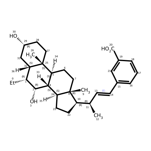 CC[C@H]1[C@@H](O)[C@@H]2[C@H](CC[C@]3(C)[C@@H]([C@H](C)/C=C/c4cccc(C(=O)O)c4)CC[C@@H]23)[C@@]2(C)CC[C@@H](O)C[C@@H]12